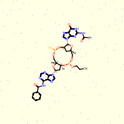 CC(C)C(=O)Nc1nc2c(ncn2[C@@H]2O[C@@H]3COP(OCCC#N)O[C@H]4C[C@H](n5cnc6c(NC(=O)c7ccccc7)ncnc65)O[C@@H]4COP(S)O[C@@H]2C3)c(=O)[nH]1